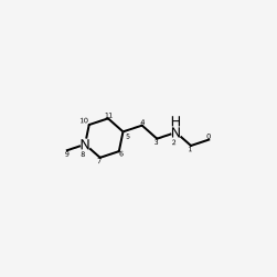 CCNCCC1CCN(C)CC1